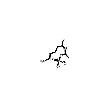 CC(CCCCN)NC(C)SP(=O)(O)O